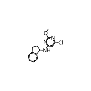 COc1nc(Cl)cc(NC2CCc3ccccc32)n1